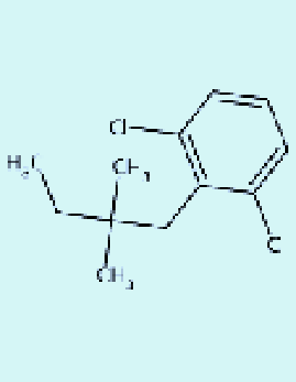 CCC(C)(C)Cc1c(Cl)cccc1Cl